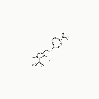 CCc1c(/C=C/c2ccc([N+](=O)[O-])cc2)cn(C)c1C(=O)O